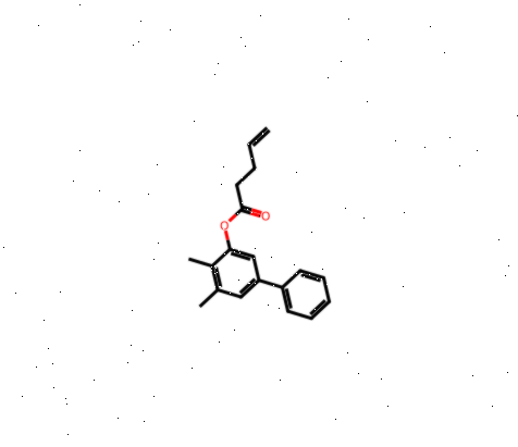 C=CCCC(=O)Oc1cc(-c2ccccc2)cc(C)c1C